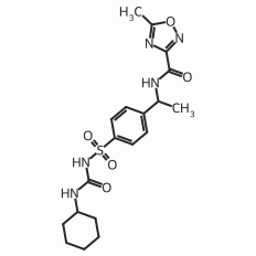 Cc1nc(C(=O)NC(C)c2ccc(S(=O)(=O)NC(=O)NC3CCCCC3)cc2)no1